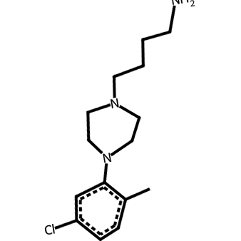 Cc1ccc(Cl)cc1N1CCN(CCCCN)CC1